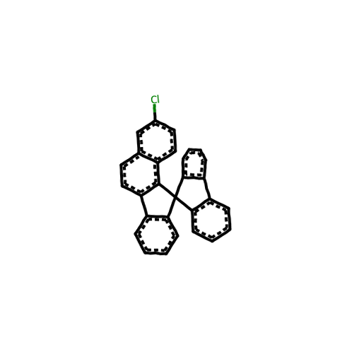 Clc1ccc2c3c(ccc2c1)-c1ccccc1C31c2ccccc2-c2ccccc21